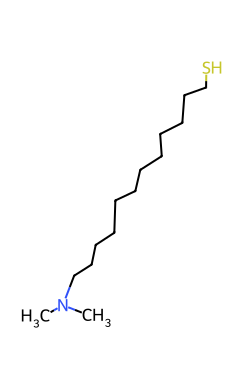 CN(C)CCCCCCCCCCCCS